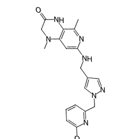 Cc1nc(NCc2cnn(Cc3cccc(OC(C)C)n3)c2)cc2c1NC(=O)CN2C